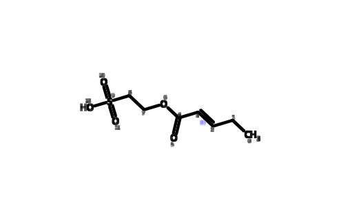 CC/C=C/C(=O)OCCS(=O)(=O)O